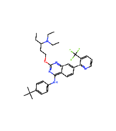 CCC(CCOc1nc(Nc2ccc(C(C)(C)C)cc2)c2ccc(-c3ncccc3C(F)(F)F)cc2n1)N(CC)CC